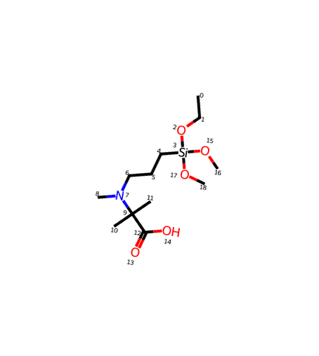 CCO[Si](CCCN(C)C(C)(C)C(=O)O)(OC)OC